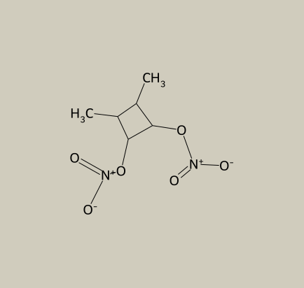 CC1C(C)C(O[N+](=O)[O-])C1O[N+](=O)[O-]